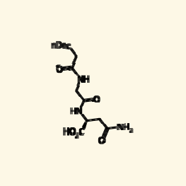 CCCCCCCCCCCC(=O)NCC(=O)N[C@@H](CC(N)=O)C(=O)O